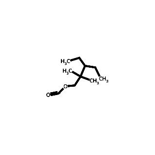 CCC(CC)C(C)(C)CO[C]=O